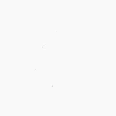 CC(Cl)c1ccc(Cl)c(Cl)c1Cl